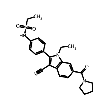 CCn1c(-c2ccc(NS(=O)(=O)CC)cc2)c(C#N)c2ccc(C(=O)N3CCCC3)cc21